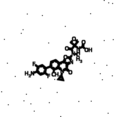 Cc1c(-c2cc(F)c(N)cc2F)ccc2c3oc(N(C)C(=O)C4(NC(=O)O)COC4)nc3c(=O)n(C3CC3)c12